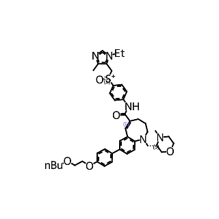 CCCCOCCOc1ccc(-c2ccc3c(c2)/C=C(/C(=O)Nc2ccc([S@+]([O-])Cc4c(C)ncn4CC)cc2)CCCN3C[C@H]2COCCN2C)cc1